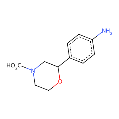 Nc1ccc(C2CN(C(=O)O)CCO2)cc1